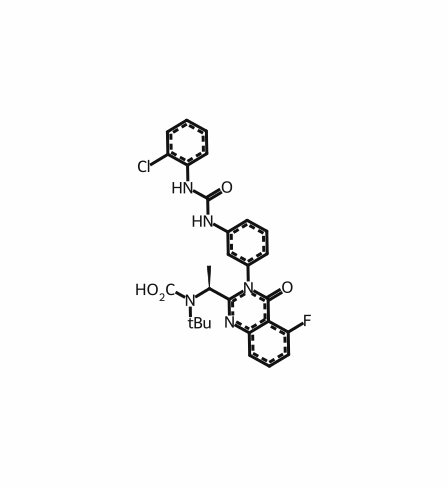 C[C@@H](c1nc2cccc(F)c2c(=O)n1-c1cccc(NC(=O)Nc2ccccc2Cl)c1)N(C(=O)O)C(C)(C)C